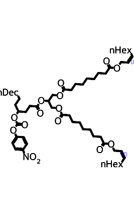 CCCCCC/C=C\COC(=O)CCCCCCCC(=O)OCC(COC(=O)CCCCCCCC(=O)OC/C=C\CCCCCC)OC(=O)CCC(CCCCCCCCCCCC)OC(=O)Oc1ccc([N+](=O)[O-])cc1